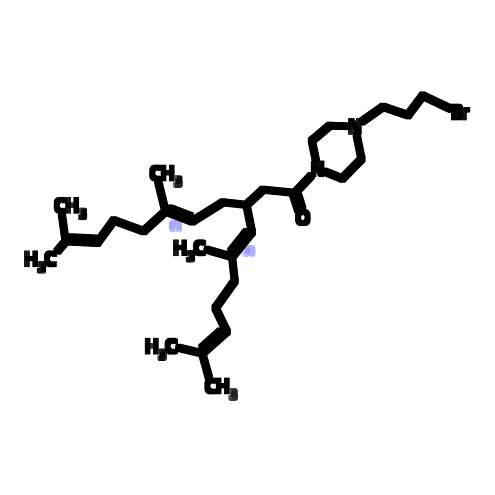 CC(C)=CCC/C(C)=C/CC(/C=C(\C)CCC=C(C)C)CC(=O)N1CCN(CCCBr)CC1